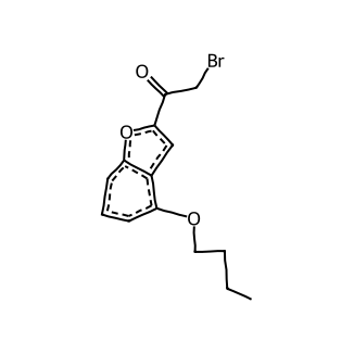 CCCCOc1cccc2oc(C(=O)CBr)cc12